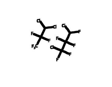 FC(Cl)C(F)(F)C(F)(F)Cl.FC(F)(F)C(F)(F)C(Cl)Cl